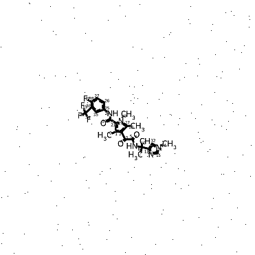 Cc1c(C(=O)C(=O)NC(C)(C)c2cn(C)cn2)c(C)n(C)c1C(=O)Nc1ccc(F)c(C(F)(F)F)c1